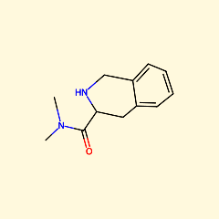 CN(C)C(=O)C1Cc2ccccc2CN1